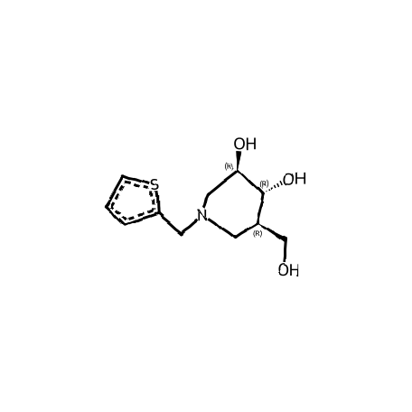 OC[C@H]1CN(Cc2cccs2)C[C@@H](O)[C@@H]1O